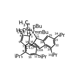 CCC[CH2][V]([CH2]CCC)([CH]1C(CC)=Cc2c(C(C)C)cc(C(C)C)cc21)([CH]1C(CC)=Cc2c(C(C)C)cc(C(C)C)cc21)[SiH](C)C